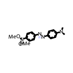 CO[SiH](OC)c1ccc(/N=N/c2ccc(N(C)C)cc2)cc1